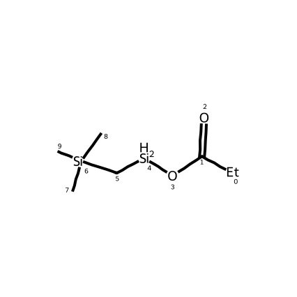 CCC(=O)O[SiH2]C[Si](C)(C)C